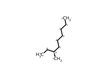 [CH2]CCCCC[C@@H](C)CC